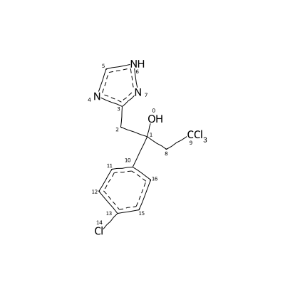 OC(Cc1nc[nH]n1)(CC(Cl)(Cl)Cl)c1ccc(Cl)cc1